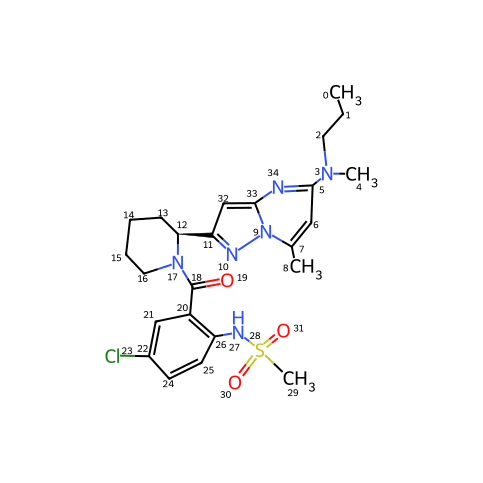 CCCN(C)c1cc(C)n2nc([C@@H]3CCCCN3C(=O)c3cc(Cl)ccc3NS(C)(=O)=O)cc2n1